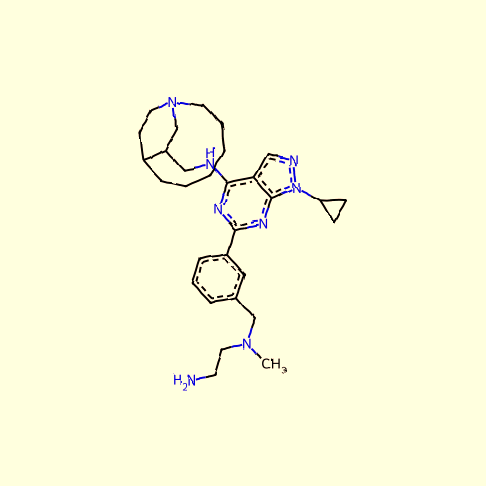 CN(CCN)Cc1cccc(-c2nc(NCC3CN4CCCCCCC3CC4)c3cnn(C4CC4)c3n2)c1